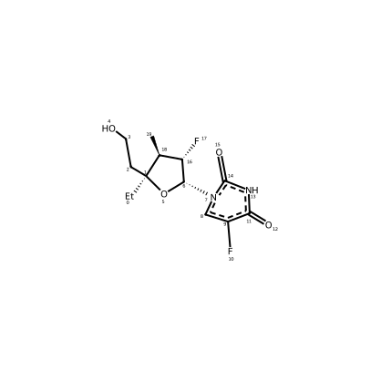 CC[C@@]1(CCO)O[C@@H](n2cc(F)c(=O)[nH]c2=O)[C@@H](F)[C@@H]1C